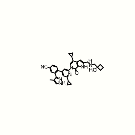 Cc1c[nH]nc1-c1cc(C#N)ccc1-c1cc(C2CC2)nc(-n2cc(C3CC3)c3cc(CNCC4(O)CCC4)[nH]c3c2=O)c1